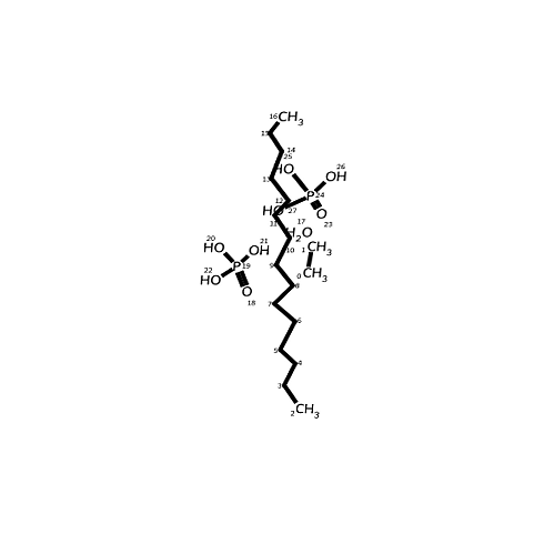 CC.CCCCCCCCCCCCCCC.O.O=P(O)(O)O.O=P(O)(O)O